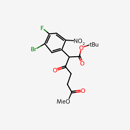 COC(=O)CCC(=O)C(C(=O)OC(C)(C)C)c1cc(Br)c(F)cc1[N+](=O)[O-]